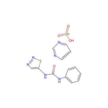 O=C(Nc1ccccc1)Nc1cnns1.O=[SH](=O)O.c1cncnc1